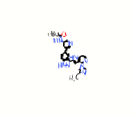 CCCCC(=O)Nc1cncc(-c2ccc3[nH]nc(-c4cc5c(-n6cnc(C)c6)nccc5[nH]4)c3c2)c1